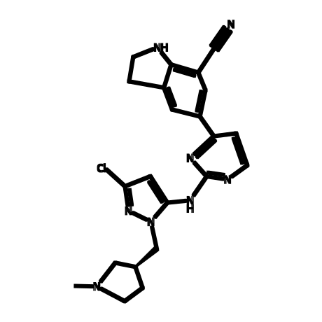 CN1CC[C@H](Cn2nc(Cl)cc2Nc2nccc(-c3cc(C#N)c4c(c3)CCN4)n2)C1